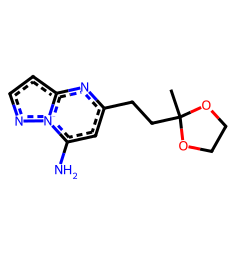 CC1(CCc2cc(N)n3nccc3n2)OCCO1